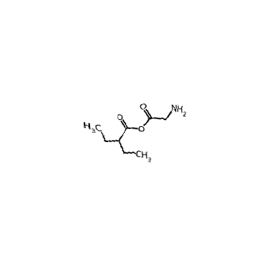 CCC(CC)C(=O)OC(=O)CN